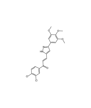 COc1cc(-c2cc(C=CC(=O)c3ccc(Cl)c(Cl)c3)[nH]n2)cc(OC)c1OC